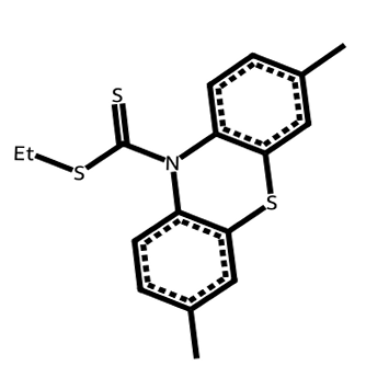 CCSC(=S)N1c2ccc(C)cc2Sc2cc(C)ccc21